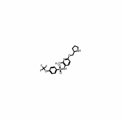 Cc1nc(OCC2CCCN2)ccc1NS(=O)(=O)c1ccc(OC(F)(F)F)cc1